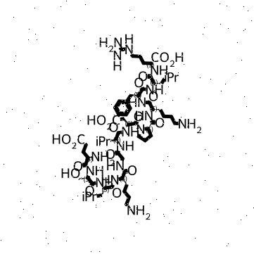 CC(C)C[C@H](NC(=O)[C@H](Cc1ccccc1)NC(=O)[C@H](CCCCN)NC(=O)[C@@H]1CCCN1C(=O)[C@H](CC(=O)O)NC(=O)[C@@H](NC(=O)CNC(=O)[C@H](CCCCN)NC(=O)[C@H](CC(C)C)NC(=O)[C@H](CO)NC(=O)[C@@H](N)CCC(=O)O)C(C)C)C(=O)N[C@@H](CCCNC(=N)N)C(=O)O